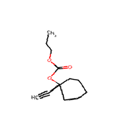 C#CC1(OC(=O)OCCC)CCCCC1